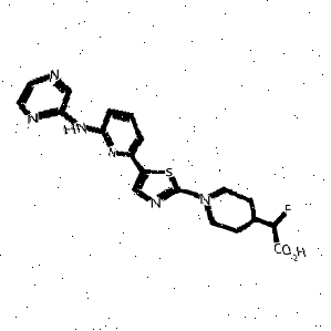 O=C(O)C(F)C1CCN(c2ncc(-c3cccc(Nc4cnccn4)n3)s2)CC1